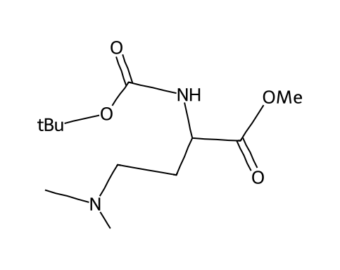 COC(=O)C(CCN(C)C)NC(=O)OC(C)(C)C